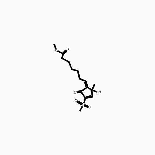 COC(=O)CCCCC/C=C1\C(=O)C(S(C)(=O)=O)=CC1(C)O